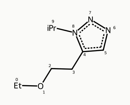 CCOCCc1cnnn1C(C)C